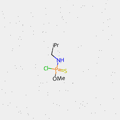 COP(=S)(Cl)NCC(C)C